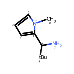 Cn1cccc1C(N)C(C)(C)C